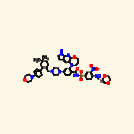 CC1(C)CCC(CN2CCN(c3ccc(C(=O)NS(=O)(=O)c4ccc(NC[C@H]5COCCO5)c([N+](=O)[O-])c4)c(N4CCCOc5nc6[nH]ccc6cc54)c3)CC2)=C(C23CCC(N4CCOCC4)(CC2)C3)C1